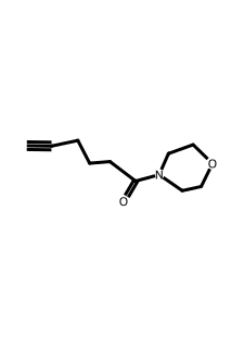 C#CCCCC(=O)N1CCOCC1